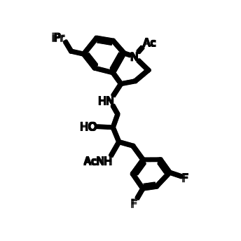 CC(=O)NC(Cc1cc(F)cc(F)c1)C(O)CNC1CCN(C(C)=O)c2ccc(CC(C)C)cc21